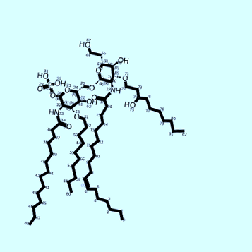 CCCCCC/C=C\CCCCCCCCCC(=O)N[C@H]1[C@H](OC[C@H]2O[C@H](OP(=O)(O)O)[C@H](NC(=O)CCCCCCCCCCCCC)[C@@H](OCCCCCCCCCC)[C@@H]2O)O[C@H](CCO)[C@@H](O)[C@@H]1OCCC(O)CCCCCCC